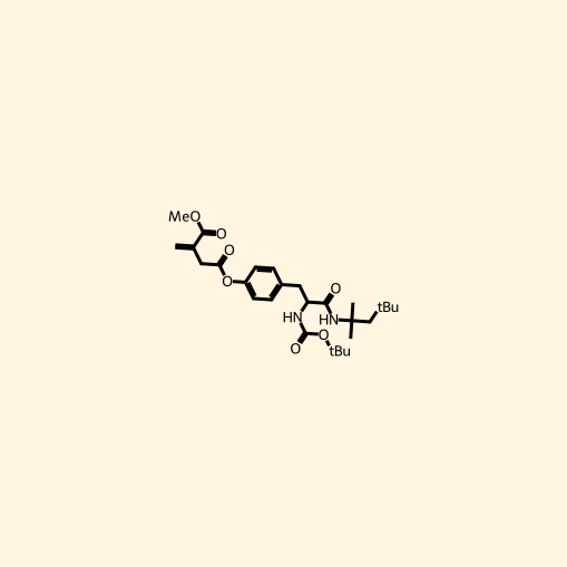 C=C(CC(=O)Oc1ccc(CC(NC(=O)OC(C)(C)C)C(=O)NC(C)(C)CC(C)(C)C)cc1)C(=O)OC